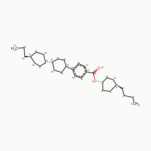 CCCC[C@H]1CC[C@H](OC(=O)c2ccc(C3CCC([C@H]4CC[C@H](CCC)CC4)CC3)cc2)CC1